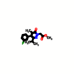 COC(=O)Cn1nc(C(C)C)c(-c2cccc(F)c2)c(C)c1=O